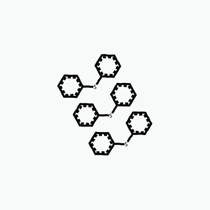 c1ccc(Sc2ccccc2)cc1.c1ccc(Sc2ccccc2)cc1.c1ccc(Sc2ccccc2)cc1